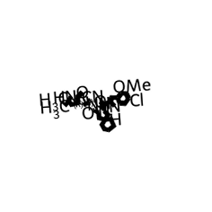 COc1cc(Cl)cc2[nH]c(C(=O)N3CC4(CCCCC4)CC3C(=O)N[C@H](C#N)C[C@@H]3CC(C)(C)NC3=O)cc12